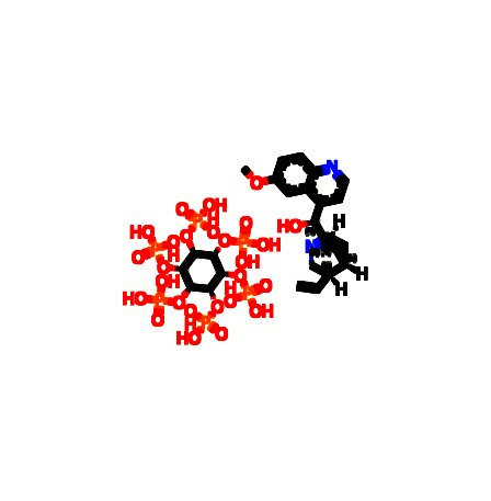 C=C[C@H]1C[N@]2CC[C@H]1C[C@@H]2[C@@H](O)c1ccnc2ccc(OC)cc12.O=P(O)(O)O[C@H]1[C@H](OP(=O)(O)O)[C@@H](OP(=O)(O)O)[C@H](OP(=O)(O)O)[C@@H](OP(=O)(O)O)[C@H]1OP(=O)(O)O